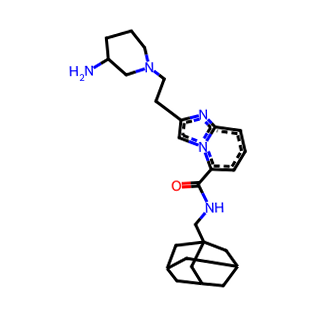 NC1CCCN(CCc2cn3c(C(=O)NCC45CC6CC(CC(C6)C4)C5)cccc3n2)C1